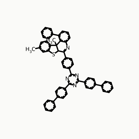 Cc1ccc2c(c1)SC1C(c3ccc(-c4nc(-c5ccc(-c6ccccc6)cc5)nc(-c5ccc(-c6ccccc6)cc5)n4)cc3)=Nc3cccc(-c4ccccc4)c3C21C